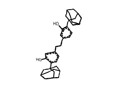 Oc1cc(CCc2ccc(C34CC5CC(CC(C5)C3)C4)c(O)c2)ccc1C12CC3CC(CC(C3)C1)C2